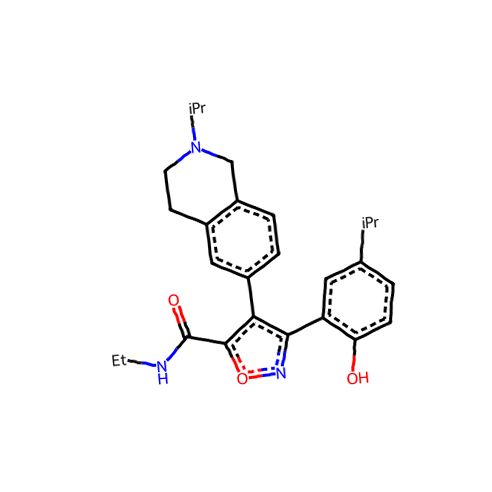 CCNC(=O)c1onc(-c2cc(C(C)C)ccc2O)c1-c1ccc2c(c1)CCN(C(C)C)C2